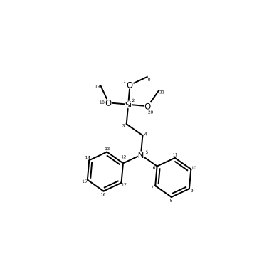 CO[Si](CCN(c1ccccc1)c1ccccc1)(OC)OC